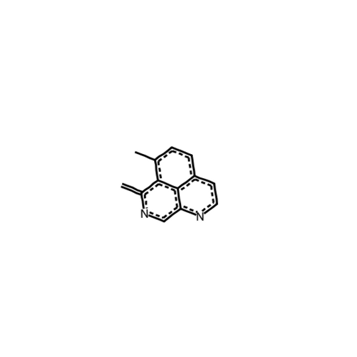 C=c1ncc2nccc3ccc(C)c1c32